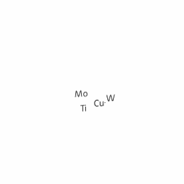 [Cu].[Mo].[Ti].[W]